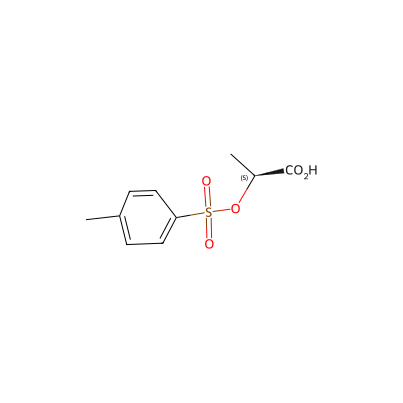 Cc1ccc(S(=O)(=O)O[C@@H](C)C(=O)O)cc1